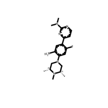 C[C@@H]1CN(c2cc(F)c(-c3ccnc(N(C)C)n3)cc2N)C[C@H](C)N1C